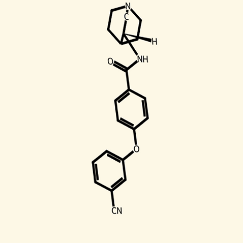 N#Cc1cccc(Oc2ccc(C(=O)N[C@H]3CN4CCC3CC4)cc2)c1